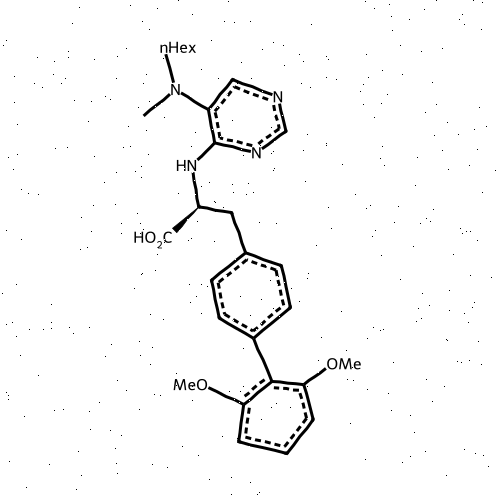 CCCCCCN(C)c1cncnc1N[C@@H](Cc1ccc(-c2c(OC)cccc2OC)cc1)C(=O)O